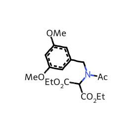 CCOC(=O)C(C(=O)OCC)N(Cc1cc(OC)cc(OC)c1)C(C)=O